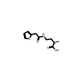 C[C@H](CCNC(=O)Cc1cccs1)C(=O)O